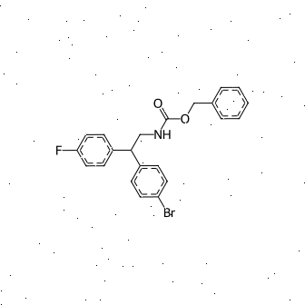 O=C(NCC(c1ccc(F)cc1)c1ccc(Br)cc1)OCc1ccccc1